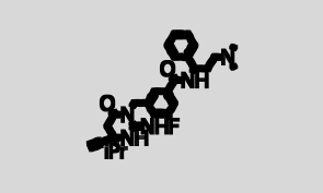 C#C[C@@]1(C(C)C)CC(=O)N(Cc2cc(F)cc(C(=O)NC(CCN(C)C)c3ccccc3)c2)C(=N)N1